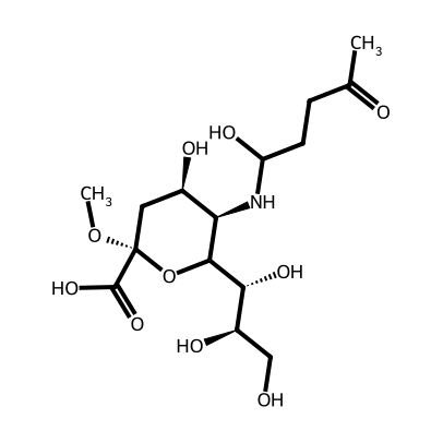 CO[C@]1(C(=O)O)C[C@@H](O)[C@@H](NC(O)CCC(C)=O)C([C@H](O)[C@H](O)CO)O1